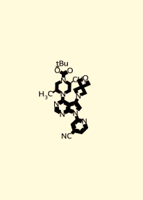 C[C@@H]1CN(c2ncnc3c2c(N2CC4(COC4)C2)cn3-c2cc(C#N)ccn2)[C@@H](C)CN1C(=O)OC(C)(C)C